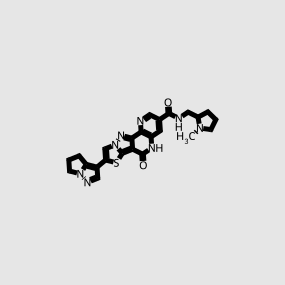 CN1CCCC1CNC(=O)c1cnc2c(c1)[nH]c(=O)c1c2nn2cc(-c3cnn4c3CCC4)sc12